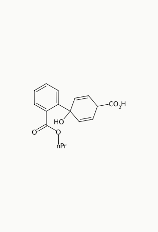 CCCOC(=O)c1ccccc1C1(O)C=CC(C(=O)O)C=C1